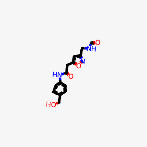 O=CNCc1cc(CC(=O)Nc2ccc(CO)cc2)on1